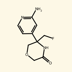 Nc1cc(C2(CF)COCC(=O)N2)ccn1